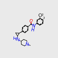 CN1CCC(NC2CC2c2ccc(C(=O)Nc3cccc(C(F)(F)F)c3)cc2)CC1